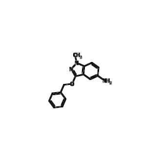 Cn1nc(OCc2ccccc2)c2cc(N)ccc21